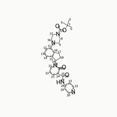 CC(C)(C)OC(=O)N1CCN(c2cccc3c2CCC3n2cccc(C(=O)Nc3ccncc3)c2=O)CC1